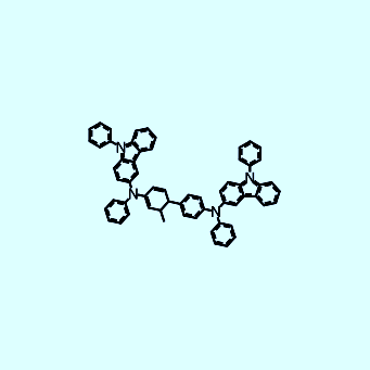 CC1C=C(N(c2ccccc2)c2ccc3c(c2)c2ccccc2n3-c2ccccc2)C=CC1c1ccc(N(c2ccccc2)c2ccc3c(c2)c2ccccc2n3-c2ccccc2)cc1